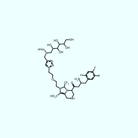 CCCCCCN(Cc1cn(CCOCCN2C(C(=O)O)=C3CNCC(C(=O)CC(N)Cc4cc(F)c(F)cc4F)N3C2C(F)(F)F)nn1)CC(O)C(O)C(O)C(O)CO